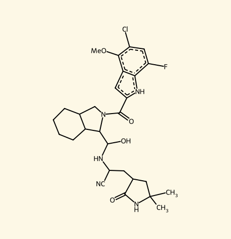 COc1c(Cl)cc(F)c2[nH]c(C(=O)N3CC4CCCCC4C3C(O)NC(C#N)CC3CC(C)(C)NC3=O)cc12